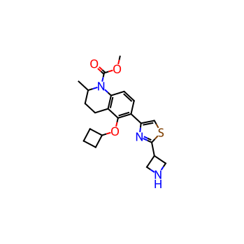 COC(=O)N1c2ccc(-c3csc(C4CNC4)n3)c(OC3CCC3)c2CCC1C